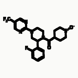 O=C(C1CC[S+]([O-])CC1)N1CCN(c2ncc(C(F)(F)F)cn2)CC1c1ccccc1F